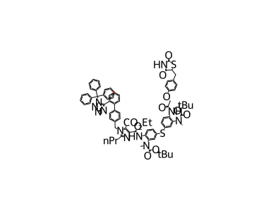 CCCc1nc(C(=O)Nc2ccc(Sc3ccc(NC(=O)COc4ccc(CC5SC(=O)NC5=O)cc4)c(N(C)C(=O)OC(C)(C)C)c3)cc2N(C)C(=O)OC(C)(C)C)c(C(=O)OCC)n1Cc1ccc(-c2ccccc2-c2nnnn2C(c2ccccc2)(c2ccccc2)c2ccccc2)cc1